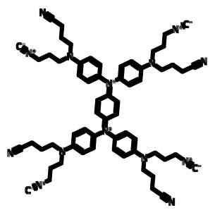 [C-]#[N+]CCCN(CCCC#N)c1ccc([N+](=C2C=CC(=[N+](c3ccc(N(CCCC#N)CCC[N+]#[C-])cc3)c3ccc(N(CCCC#N)CCC[N+]#[C-])cc3)C=C2)c2ccc(N(CCCC#N)CCC[N+]#[C-])cc2)cc1